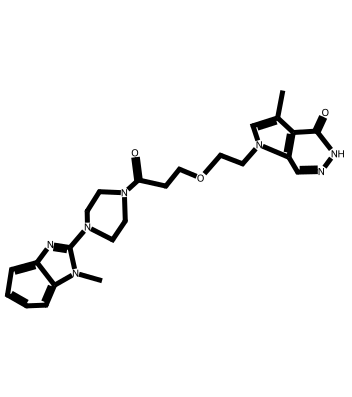 Cc1cn(CCOCCC(=O)N2CCN(c3nc4ccccc4n3C)CC2)c2cn[nH]c(=O)c12